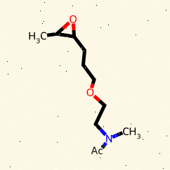 CC(=O)N(C)CCOCCCC1OC1C